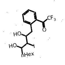 CCCCCCC(O)C(I)C(O)Cc1ccccc1C(=O)C(F)(F)F